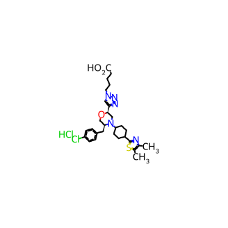 Cc1nc(C2CCC(N3C[C@H](c4cn(CCCCC(=O)O)nn4)OC[C@@H]3Cc3ccc(Cl)cc3)CC2)sc1C.Cl